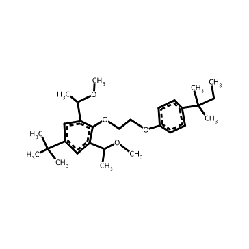 CCC(C)(C)c1ccc(OCCOc2c(C(C)OC)cc(C(C)(C)C)cc2C(C)OC)cc1